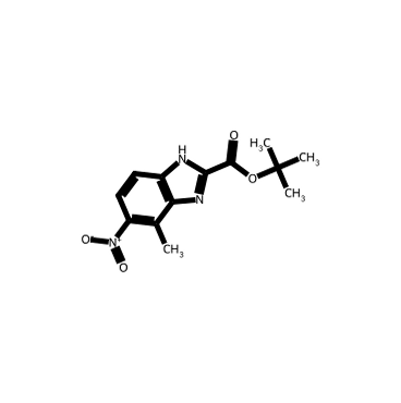 Cc1c([N+](=O)[O-])ccc2[nH]c(C(=O)OC(C)(C)C)nc12